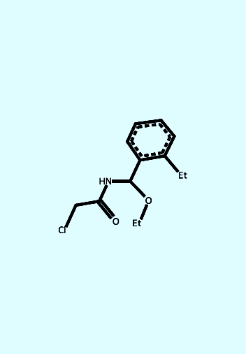 CCOC(NC(=O)CCl)c1ccccc1CC